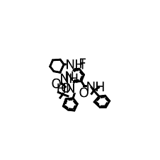 CC(C)(C)OC(=O)N[C@H]1CCCCC1Nc1nc(NCc2ccccc2)c(C(=O)NC(C)(C)c2ccccc2)cc1F